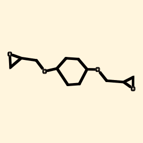 C1CC(OCC2CO2)CCC1OCC1CO1